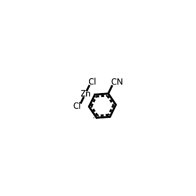 N#Cc1cc[c]cc1.[Cl][Zn][Cl]